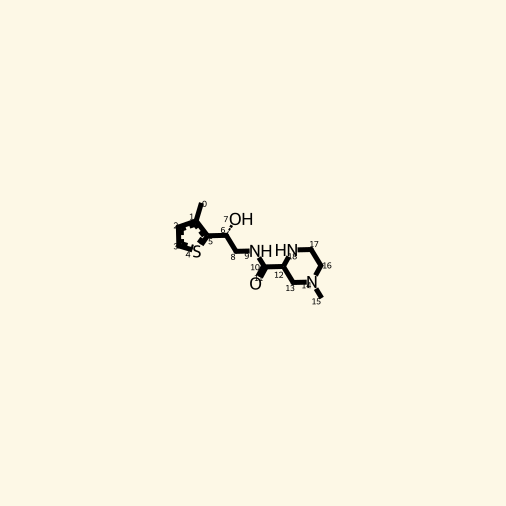 Cc1ccsc1[C@H](O)CNC(=O)C1CN(C)CCN1